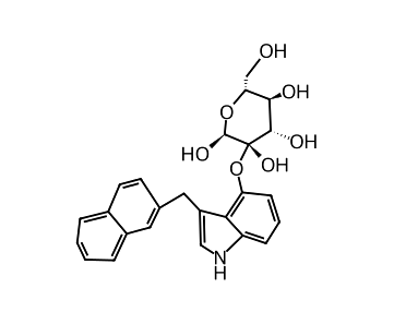 OC[C@H]1O[C@H](O)[C@@](O)(Oc2cccc3[nH]cc(Cc4ccc5ccccc5c4)c23)[C@@H](O)[C@@H]1O